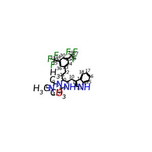 CC(N(C)C)N1C(=O)NC(Cc2c[nH]c3ccccc23)C1CCc1cc(C(F)(F)F)cc(C(F)(F)F)c1